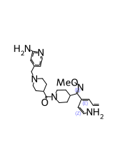 C=C/C=C(\C=C/N)C(=N/OC)/C1CCN(C(=O)C2CCN(Cc3ccnc(N)c3)CC2)CC1